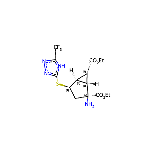 CCOC(=O)[C@H]1[C@H]2[C@@H]1[C@](N)(C(=O)OCC)C[C@H]2Sc1nnc(C(F)(F)F)[nH]1